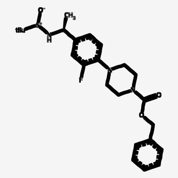 C[C@H](N[S+]([O-])C(C)(C)C)c1ccc(N2CCN(C(=O)OCc3ccccc3)CC2)c(F)c1